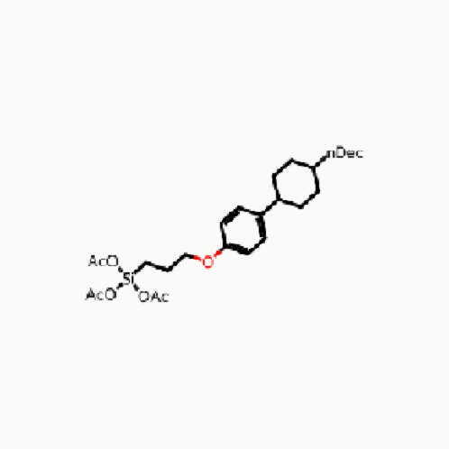 CCCCCCCCCCC1CCC(c2ccc(OCCC[Si](OC(C)=O)(OC(C)=O)OC(C)=O)cc2)CC1